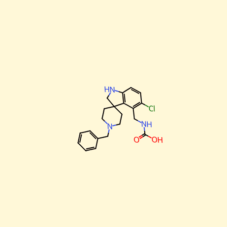 O=C(O)NCc1c(Cl)ccc2c1C1(CCN(Cc3ccccc3)CC1)CN2